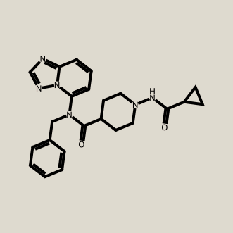 O=C(NN1CCC(C(=O)N(Cc2ccccc2)c2cccc3ncnn23)CC1)C1CC1